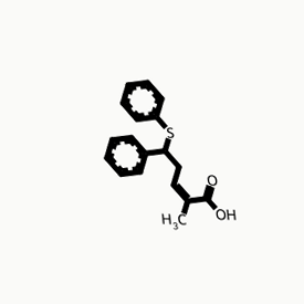 CC(=CCC(Sc1ccccc1)c1ccccc1)C(=O)O